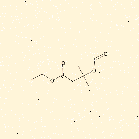 CCOC(=O)CC(C)(C)O[C]=O